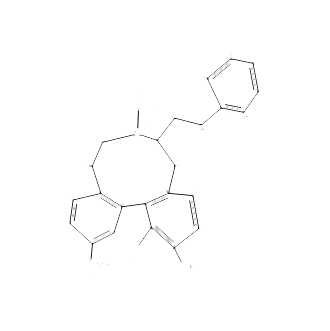 COc1ccc2c(c1)-c1c(ccc(OC)c1O)CC(CCc1ccccc1)N(C)CC2